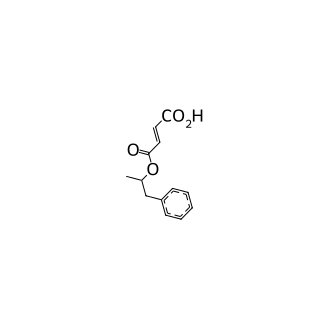 CC(Cc1ccccc1)OC(=O)/C=C/C(=O)O